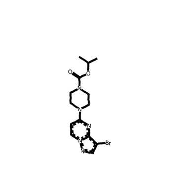 CC(C)OC(=O)N1CCN(c2ccn3ncc(Br)c3n2)CC1